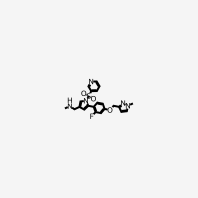 CNCc1cc(-c2ccc(OCc3ccn(C)n3)cc2F)n(S(=O)(=O)c2cccnc2)c1